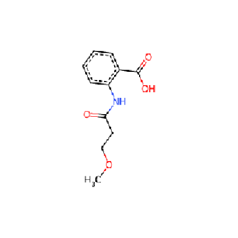 COCCC(=O)Nc1ccccc1C(=O)O